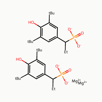 CCC(c1cc(C(C)(C)C)c(O)c(C(C)(C)C)c1)P(=O)([O-])[O-].CCC(c1cc(C(C)(C)C)c(O)c(C(C)(C)C)c1)P(=O)([O-])[O-].[Mg+2].[Mg+2]